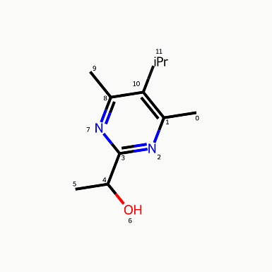 Cc1nc(C(C)O)nc(C)c1C(C)C